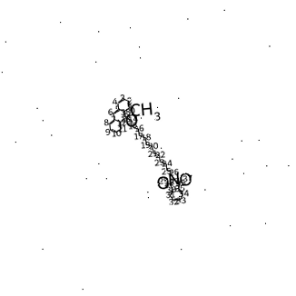 Cc1cccc2cc3ccccc3c(OCCCCCCCCCCCCN3C(=O)c4ccccc4C3=O)c12